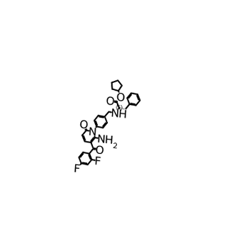 Nc1c(C(=O)c2ccc(F)cc2F)ccc(=O)n1-c1ccc(CN[C@@H](Cc2ccccc2)C(=O)OC2CCCC2)cc1